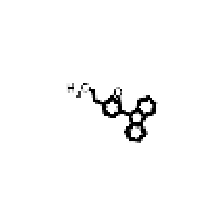 CCCc1ccc(C2c3ccccc3-c3ccccc32)c2c1O2